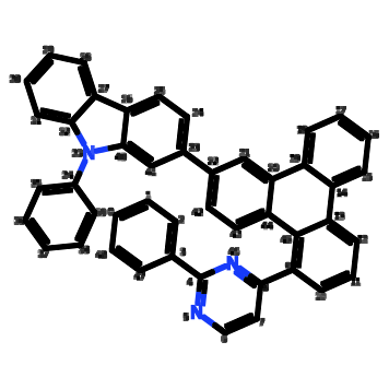 c1ccc(-c2nccc(-c3cccc4c5ccccc5c5cc(-c6ccc7c8ccccc8n(-c8ccccc8)c7c6)ccc5c34)n2)cc1